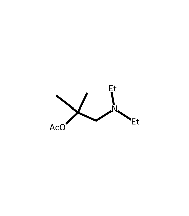 CCN(CC)CC(C)(C)OC(C)=O